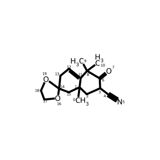 CC12CC(C#N)C(=O)C(C)(C)C1=CCC1(C2)OCCO1